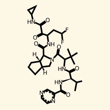 CC(C)[C@@H](NC(=O)c1cnccn1)C(=O)NC(C(=O)N1C[C@@H]2CCC[C@@H]2C1C(=O)NC(CC(F)F)C(=O)C(=O)NC1CC1)C(C)(C)C